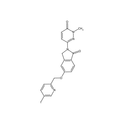 Cn1nc(N2Cc3cc(OCc4ccc(I)cn4)ccc3C2=O)ccc1=O